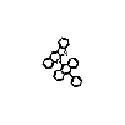 c1ccc(-c2c3ccccc3c(-n3c4nc5ccccc5c-4cc4ccccc43)c3ccccc23)cc1